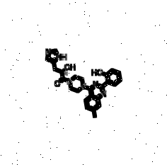 Cc1ccc2c(N3CCN(C(=O)[C@H](O)Cc4cnc[nH]4)CC3)nc(-c3ccccc3O)nc2c1